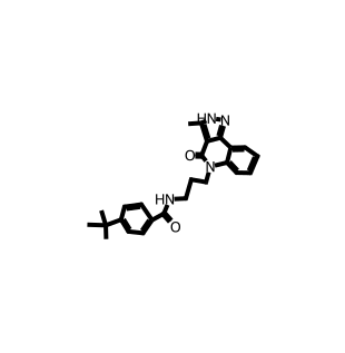 Cc1[nH]nc2c1c(=O)n(CCCNC(=O)c1ccc(C(C)(C)C)cc1)c1ccccc21